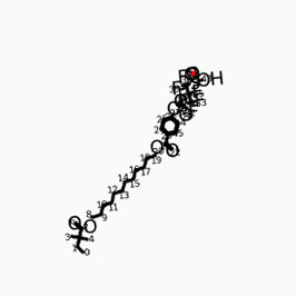 CCC(C)(C)C(=O)OCCCCCCCCCCCCOC(=O)c1ccc(OS(=O)(=O)C(F)(F)C(F)(F)C(F)(F)S(=O)(=O)O)cc1